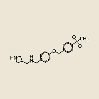 CS(=O)(=O)c1ccc(COc2ccc(CNCC3CNC3)cc2)cc1